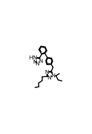 CCCCCc1nc(Cc2ccc(-c3ccccc3-c3nnn[nH]3)cc2)n(C(C)CC)n1